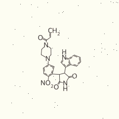 C=CC(=O)N1CCN(c2ccc([N+](=O)[O-])c(C3C(=O)NC(=O)C3c3c[nH]c4ccccc34)c2)CC1